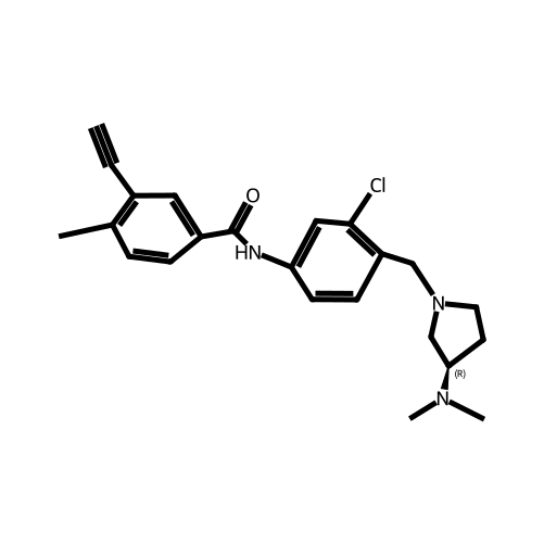 C#Cc1cc(C(=O)Nc2ccc(CN3CC[C@@H](N(C)C)C3)c(Cl)c2)ccc1C